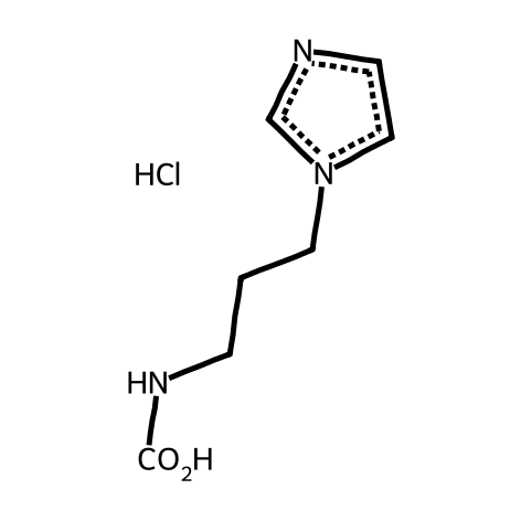 Cl.O=C(O)NCCCn1ccnc1